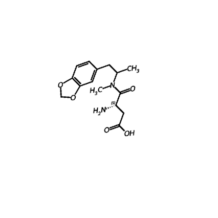 CC(Cc1ccc2c(c1)OCO2)N(C)C(=O)[C@@H](N)CC(=O)O